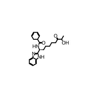 CC(O)C(=O)CCCCC[C@H](NC(=O)C1C=CC=CC1)c1nc2ccccc2[nH]1